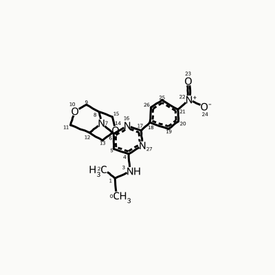 CC(C)Nc1cc(N2C3COCC2COC3)nc(-c2ccc([N+](=O)[O-])cc2)n1